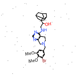 COc1cc(CN2CCc3c(ncnc3NCC(O)C34CC5CC(CC(C5)C3)C4)C2)cc(Br)c1OC